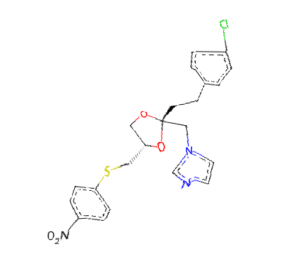 O=[N+]([O-])c1ccc(SC[C@@H]2CO[C@](CCc3ccc(Cl)cc3)(Cn3ccnc3)O2)cc1